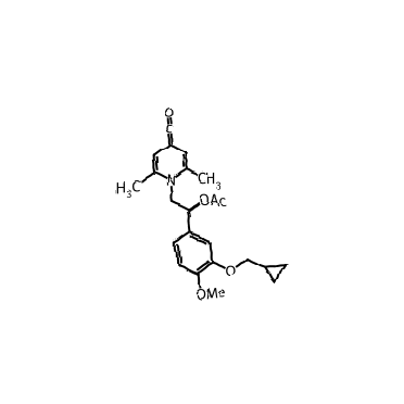 COc1ccc(C(CN2C(C)=CC(=C=O)C=C2C)OC(C)=O)cc1OCC1CC1